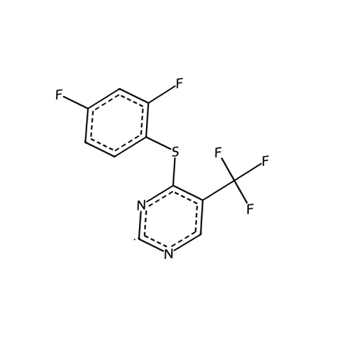 Fc1ccc(Sc2n[c]ncc2C(F)(F)F)c(F)c1